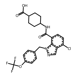 O=C(NC1CCC(C(=O)O)CC1)c1ccc(Cl)c2cnn(Cc3ccc(OC(F)(F)F)cc3)c12